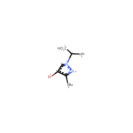 CCCC(C(=O)O)n1cc(Br)c(C(C)(C)C)n1